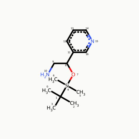 CC(C)(C)[Si](C)(C)OC(CN)c1cccnc1